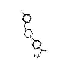 NC(=O)c1ccc(N2CCN(Cc3cccc(F)c3)CC2)cc1